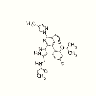 C=CC(=O)NCc1cc(-c2nc(-n3cc(C)cn3)c3ccsc3c2-c2ccc(F)cc2OC(C)C)n[nH]1